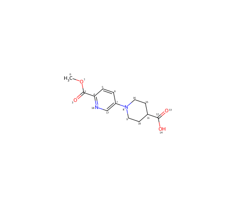 COC(=O)c1ccc(N2CCC(C(=O)O)CC2)cn1